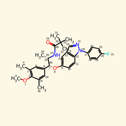 COc1c(C)cc([C@@H](Oc2ccc3c(cnn3-c3ccc(F)cc3)c2)[C@H](C)NC(=O)C(C)(C)C)cc1C